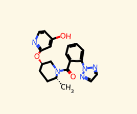 C[C@@H]1CC[C@@H](Oc2cc(O)ccn2)CN1C(=O)c1ccccc1-n1nccn1